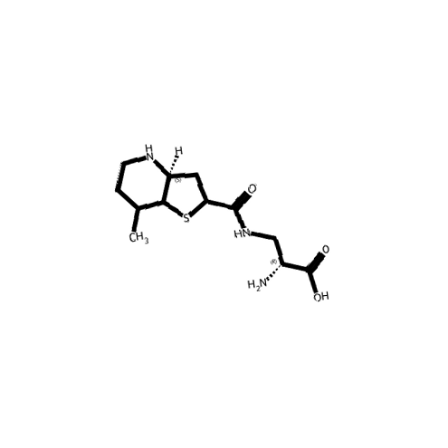 CC1CCN[C@H]2CC(C(=O)NC[C@@H](N)C(=O)O)SC12